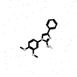 COc1ccc(-n2cc(-c3ccccc3)nc2N)cc1OC